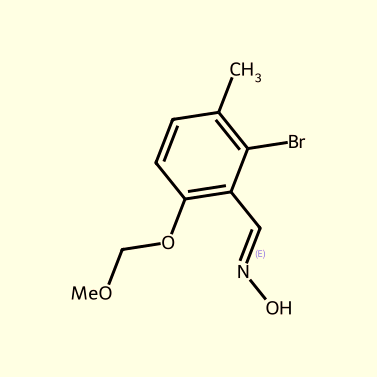 COCOc1ccc(C)c(Br)c1/C=N/O